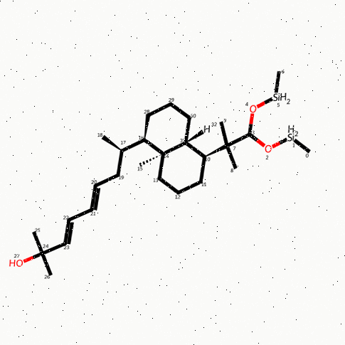 C[SiH2]OC(O[SiH2]C)C(C)(C)[C@H]1CCC[C@@]2(C)[C@@H]([C@H](C)C/C=C/C=C/C(C)(C)O)CCC[C@H]12